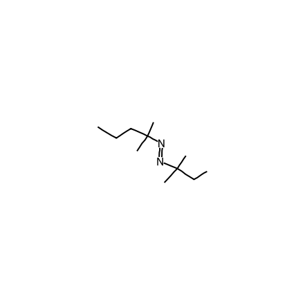 CCCC(C)(C)/N=N/C(C)(C)CC